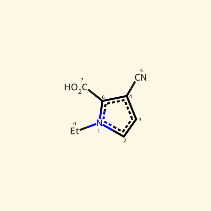 CCn1ccc(C#N)c1C(=O)O